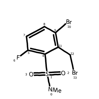 CNS(=O)(=O)c1c(F)ccc(Br)c1CBr